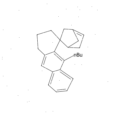 CCCCc1c2c(cc3ccccc13)CCCC21CC2=CCC1C2